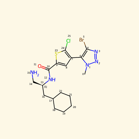 Cn1nnc(Br)c1-c1cc(C(=O)N[C@H](CN)CC2CCCCC2)sc1Cl